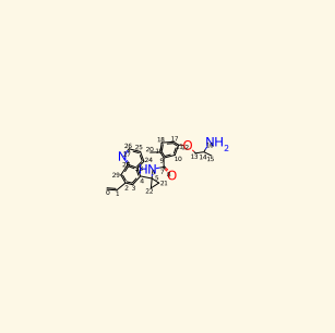 C=Cc1cc(C2(NC(=O)c3cc(OCC(C)N)ccc3C)CC2)c2cccnc2c1